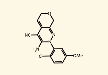 COc1ccc(Cl)c(N2N=C3COCC=C3C(C#N)=C2N)c1